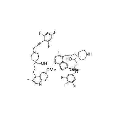 COc1ccc2ncc(C)c(CCCC3(C(O)CCOc4cc(F)c(F)c(F)c4)CCNCC3)c2c1.COc1ccc2ncc(C)c(CCCC3(CO)CCN(CC#Cc4c(F)cc(F)cc4F)CC3)c2c1